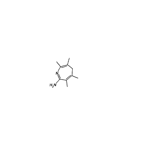 CC1=C(C)N=C(N)C(C)=C(C)C1